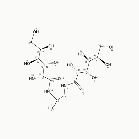 CC(CNC(=O)[C@H](O)[C@@H](O)[C@@H](O)[C@H](O)CO)NC(=O)[C@H](O)[C@@H](O)[C@@H](O)[C@H](O)CO